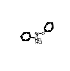 Cl.Cl.c1ccc([O][Sn][O]c2ccccc2)cc1